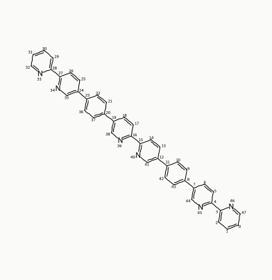 c1ccc(-c2ccc(-c3ccc(-c4ccc(-c5ccc(-c6ccc(-c7ccc(-c8ccccn8)nc7)cc6)cn5)nc4)cc3)cn2)nc1